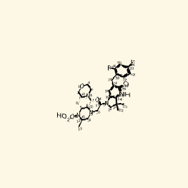 C[C@@H]1COCCN1C[C@H]1CN(C(=O)O)[C@H](C)CN1CC(=O)N1CC(C)(C)c2[nH]c(=O)c(Cc3ccc(F)cc3F)cc21